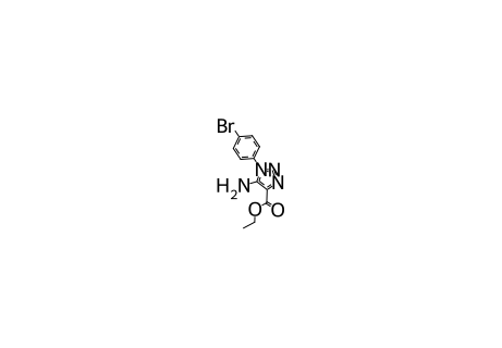 CCOC(=O)c1nnn(-c2ccc(Br)cc2)c1N